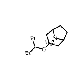 CCC(CC)OC1CC2CCC(C1)N2C